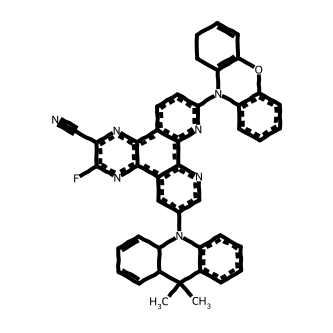 CC1(C)c2ccccc2N(c2cnc3c(c2)c2nc(F)c(C#N)nc2c2ccc(N4C5=C(C=CCC5)Oc5ccccc54)nc23)C2C=CC=CC21